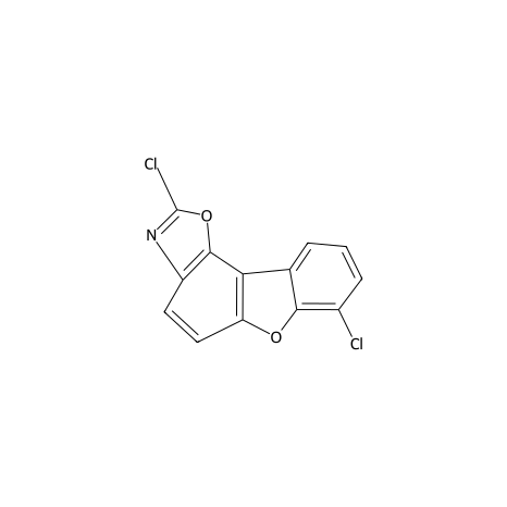 Clc1nc2ccc3oc4c(Cl)cccc4c3c2o1